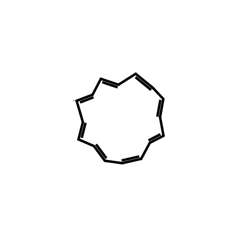 [C]1=C/C=C/C=C\C=C\C=C\C=C/C=C/C=C/1